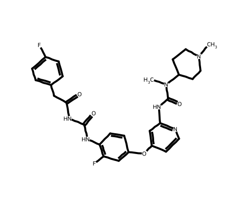 CN1CCC(N(C)C(=O)Nc2cc(Oc3ccc(NC(=O)NC(=O)Cc4ccc(F)cc4)c(F)c3)ccn2)CC1